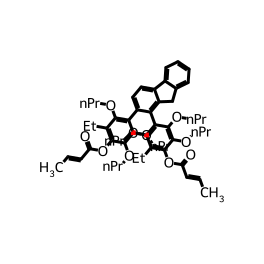 CC=CC(=O)Oc1c(CC)c(OCCC)c(-c2ccc3c(c2-c2c(OCCC)c(CC)c(OC(=O)C=CC)c(OCCC)c2OCCC)Cc2ccccc2-3)c(OCCC)c1OCCC